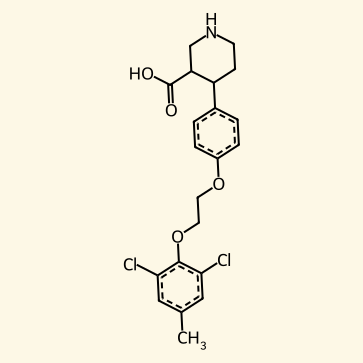 Cc1cc(Cl)c(OCCOc2ccc(C3CCNCC3C(=O)O)cc2)c(Cl)c1